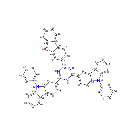 c1ccc(-n2c3ccccc3c3cc(-c4nc(-c5ccc6c(c5)oc5ccccc56)nc(-c5ccc6c7ccccc7n(-c7ccccc7)c6c5)n4)ccc32)cc1